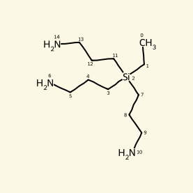 CC[Si](CCCN)(CCCN)CCCN